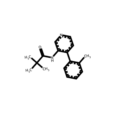 Cc1ccccc1-c1ccncc1NC(=O)C(C)(C)C